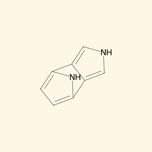 c1cc2[nH]c1c1c[nH]cc21